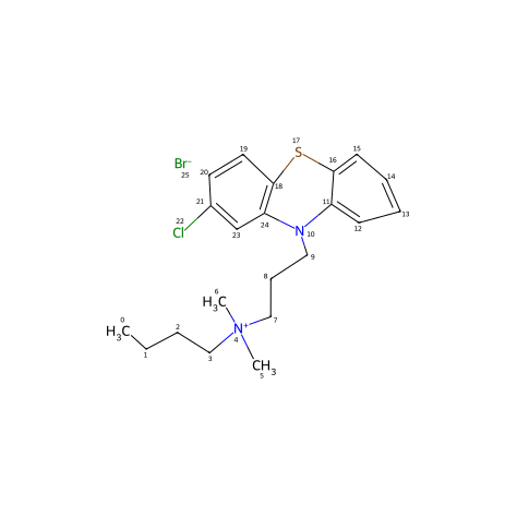 CCCC[N+](C)(C)CCCN1c2ccccc2Sc2ccc(Cl)cc21.[Br-]